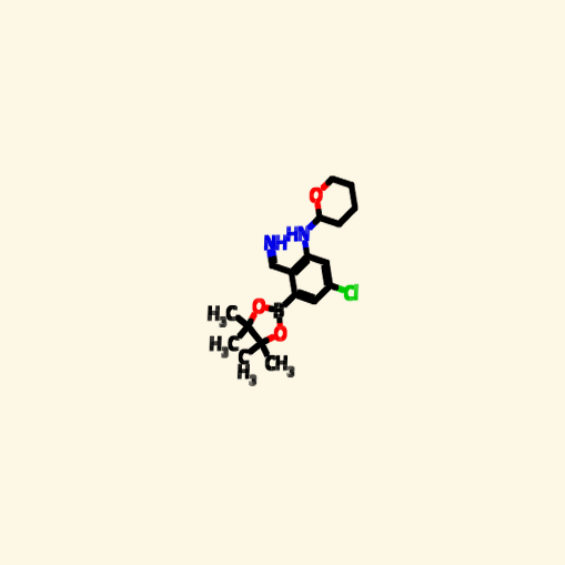 CC1(C)OB(c2cc(Cl)cc(NC3CCCCO3)c2C=N)OC1(C)C